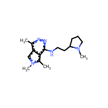 Cc1nnc(NCCC2CCCN2C)c2c(C)n(C)cc12